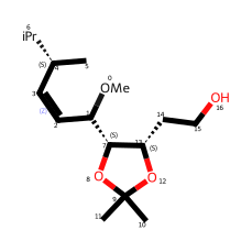 COC(/C=C\[C@@H](C)C(C)C)[C@H]1OC(C)(C)O[C@H]1CCO